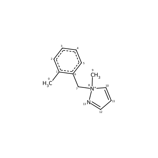 Cc1ccccc1C[N+]1(C)C=CC=N1